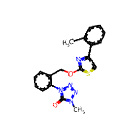 Cc1ccccc1-c1csc(OCc2ccccc2-n2nnn(C)c2=O)n1